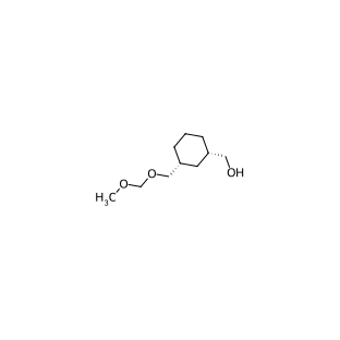 COCOC[C@@H]1CCC[C@H](CO)C1